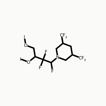 FC(N1CC(C(F)(F)F)CC(C(F)(F)F)C1)C(F)(F)C(COI)OI